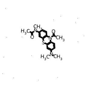 CC(=O)N(C)c1ccc2c(c1)Sc1cc(N(C)C)ccc1N2C(C)=O